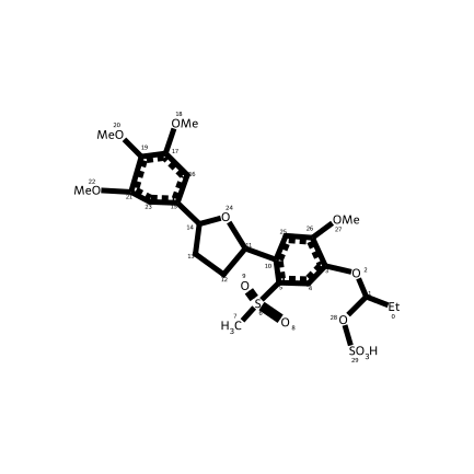 CCC(Oc1cc(S(C)(=O)=O)c(C2CCC(c3cc(OC)c(OC)c(OC)c3)O2)cc1OC)OS(=O)(=O)O